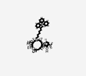 CC[C@H]1OC(=O)[C@H](C)C[C@H](C)[C@@H](O[C@@H]2O[C@H](C)C[C@H](N(C)C)[C@H]2O)[C@](C)(O)C[C@@H](C)CN(CCCCCCCC[PH](C2CCCCC2)(C2CCCCC2)C2CCCCC2)[C@H](C)[C@@H](O)[C@]1(C)O